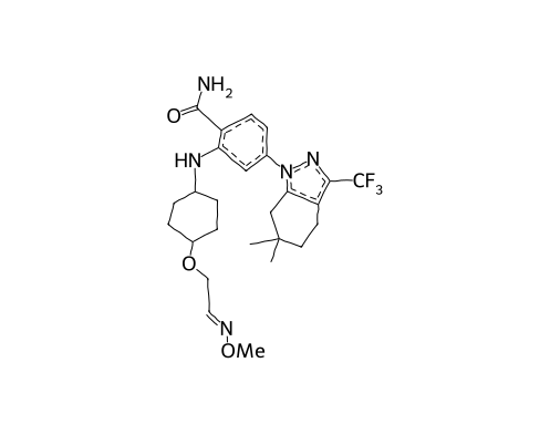 CON=CCOC1CCC(Nc2cc(-n3nc(C(F)(F)F)c4c3CC(C)(C)CC4)ccc2C(N)=O)CC1